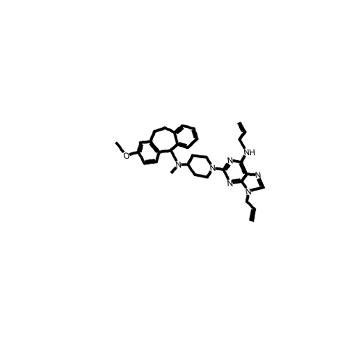 C=CCNc1nc(N2CCC(N(C)C3c4ccccc4CCc4cc(OC)ccc43)CC2)nc2c1ncn2CC=C